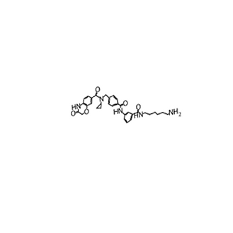 NCCCCCCNC(=O)c1cccc(NC(=O)c2ccc(CN(C(=O)c3ccc4c(c3)OCC(=O)N4)C3CC3)cc2)c1